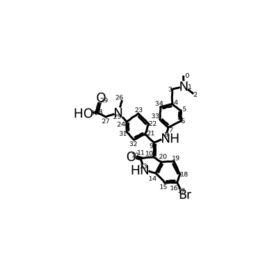 CN(C)Cc1ccc(NC(=C2C(=O)Nc3cc(Br)ccc32)c2ccc(N(C)CC(=O)O)cc2)cc1